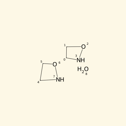 C1CON1.C1CON1.O